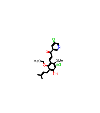 COCOc1c(C=CC(=O)c2cncc(Cl)c2)c(OC)cc(O)c1CC=C(C)C.Cl